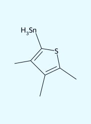 Cc1s[c]([SnH3])c(C)c1C